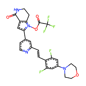 O=C1NCCc2c1cc(-c1ccnc(C=Cc3c(F)cc(N4CCOCC4)cc3F)c1)n2OC(=O)C(F)(F)F